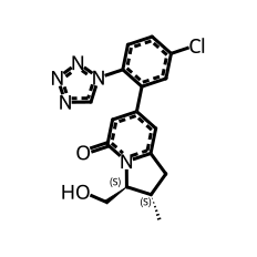 C[C@H]1Cc2cc(-c3cc(Cl)ccc3-n3cnnn3)cc(=O)n2[C@@H]1CO